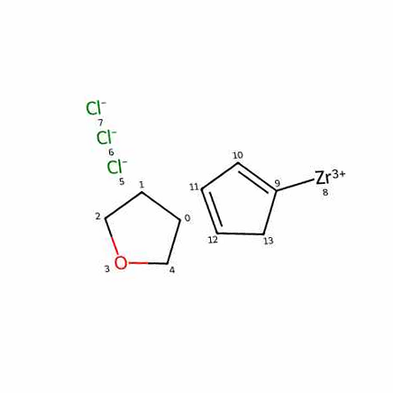 C1CCOC1.[Cl-].[Cl-].[Cl-].[Zr+3][C]1=CC=CC1